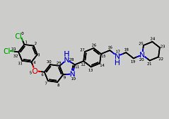 Clc1ccc(Oc2ccc3nc(-c4ccc(CNCCN5CCCCC5)cc4)[nH]c3c2)cc1Cl